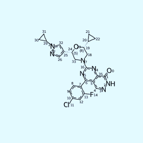 O=c1[nH]ncc2c(-c3ccc(Cl)cc3F)nc(N3C[C@@H](C4CC4)O[C@@H](c4cnn(C5CC5)c4)C3)nc12